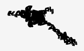 Cc1ccc(S(=O)(=O)N2C[C@H]3C(=O)C[C@@H](c4ccc(CCCOCCOCCNC(=O)OC(C)(C)C)cc4)N(S(=O)(=O)c4ccc(C)cc4)[C@H]3C[C@H]2c2ccccc2)cc1